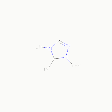 CCCCN1N=CN(CC)C1C(C)C